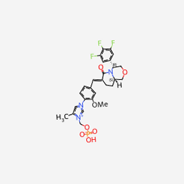 COc1cc(C=C2CC[C@H]3COC[C@@H](c4cc(F)c(F)c(F)c4)N3C2=O)ccc1-n1cc(C)[n+](COP(=O)([O-])O)c1